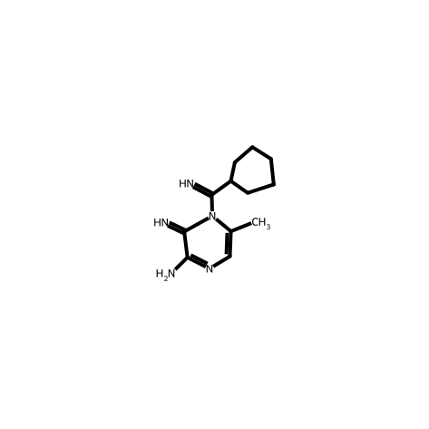 Cc1cnc(N)c(=N)n1C(=N)C1CCCCC1